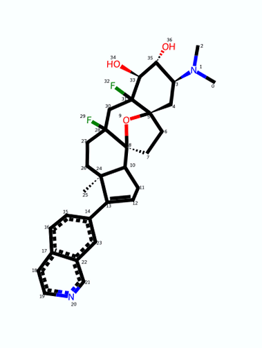 CN(C)[C@H]1C[C@@]23CC[C@]4(O2)C2CC=C(c5ccc6ccncc6c5)[C@@]2(C)CCC4(F)CC3(F)[C@@H](O)[C@@H]1O